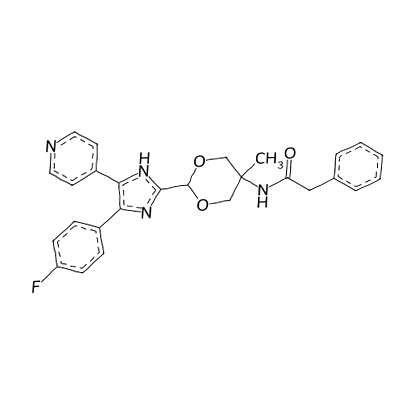 CC1(NC(=O)Cc2ccccc2)COC(c2nc(-c3ccc(F)cc3)c(-c3ccncc3)[nH]2)OC1